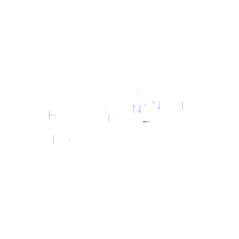 CC[C@H](C)CC=CC(C)(C)[n+]1ccn(C)c1